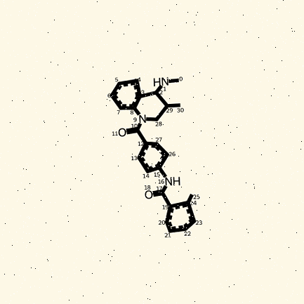 CNC1c2ccccc2N(C(=O)c2ccc(NC(=O)c3ccccc3C)cc2)CC1C